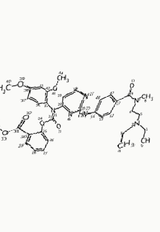 CCN(CC)CCN(C)C(=O)c1ccc(Nc2nccc(N(C(=O)Oc3ccccc3C(=O)OC)c3ccc(OC)cc3OC)n2)cc1